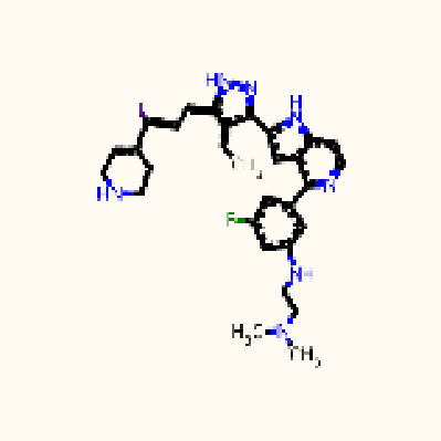 C\C=c1/c(-c2cc3c(-c4cc(F)cc(NCCN(C)C)c4)nccc3[nH]2)n[nH]/c1=C/C=C(\I)C1=CCNCC1